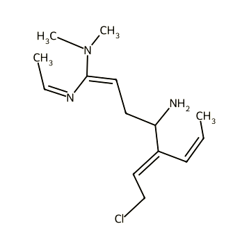 C/C=C\C(=C/CCl)C(N)C/C=C(\N=C/C)N(C)C